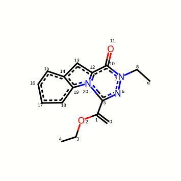 C=C(OCC)c1nn(CC)c(=O)c2cc3ccccc3n12